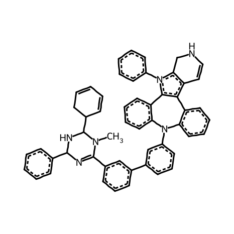 CN1C(c2cccc(-c3cccc(N4c5ccccc5-c5c6c(n(-c7ccccc7)c5-c5ccccc54)CNC=C6)c3)c2)=NC(c2ccccc2)NC1C1C=CC=CC1